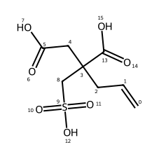 C=CCC(CC(=O)O)(CS(=O)(=O)O)C(=O)O